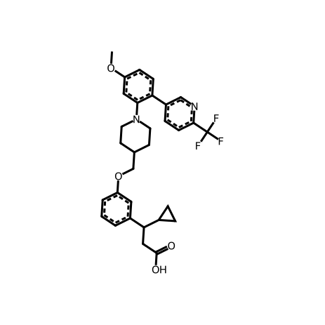 COc1ccc(-c2ccc(C(F)(F)F)nc2)c(N2CCC(COc3cccc(C(CC(=O)O)C4CC4)c3)CC2)c1